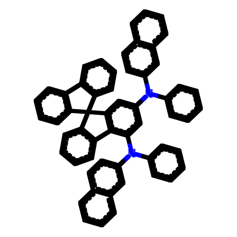 c1ccc(N(c2cc(N(c3ccccc3)c3ccc4ccccc4c3)c3c(c2)C2(c4ccccc4-c4ccccc42)c2ccccc2-3)c2ccc3ccccc3c2)cc1